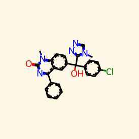 Cn1cnnc1C(O)(c1ccc(Cl)cc1)c1ccc2c(c1)c(-c1ccccc1)nc(=O)n2C